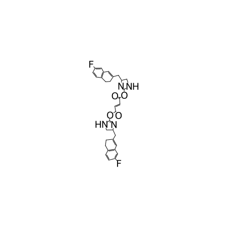 O=C(/C=C/C(=O)OC1=NC(CC2=Cc3cc(F)ccc3CC2)CN1)OC1=NC(CC2=Cc3cc(F)ccc3CC2)CN1